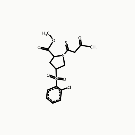 COC(=O)C1CC(S(=O)(=O)c2ccccc2Cl)CN1C(=S)CC(C)=O